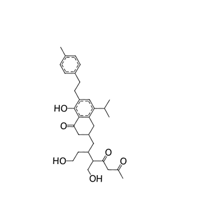 CC(=O)CC(=O)C(CO)C(CCO)CC1CC(=O)c2c(O)c(CCc3ccc(C)cc3)cc(C(C)C)c2C1